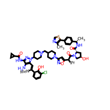 CN/C(=C\c1c(N)c(NC(=O)C2CC2)nn1C1CCN(CC2CCN(c3cc(C(C(=O)N4C[C@H](O)C[C@H]4C(=O)N[C@@H](C)c4ccc(-c5scnc5C)cc4)C(C)C)on3)CC2)CC1)c1cccc(Cl)c1O